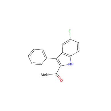 CNC(=O)c1[nH]c2ccc(F)cc2c1-c1ccccc1